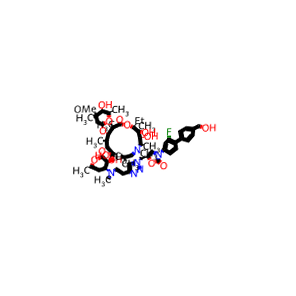 CC[C@H]1OC(=O)[C@H](C)[C@@H](O[C@H]2C[C@@](C)(OC)[C@H](O)[C@H](C)O2)[C@H](C)[C@@H](O[C@@H]2O[C@H](C)C[C@H](N(C)CCc3cn(C[C@H]4CN(c5ccc(-c6ccc(CO)cc6)c(F)c5)C(=O)O4)nn3)[C@@H]2O)C(C)(O)C[C@@H](C)CN(C)[C@H](C)[C@@H](O)C1(C)O